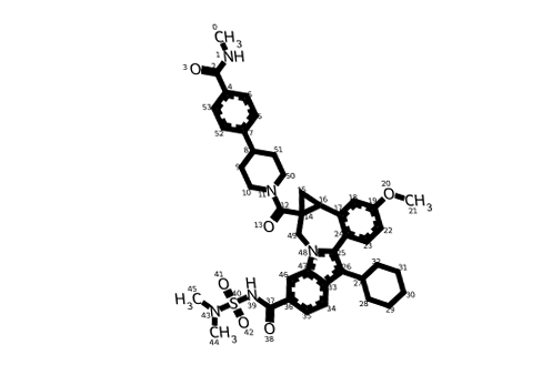 CNC(=O)c1ccc(C2CCN(C(=O)C34CC3c3cc(OC)ccc3-c3c(C5CCCCC5)c5ccc(C(=O)NS(=O)(=O)N(C)C)cc5n3C4)CC2)cc1